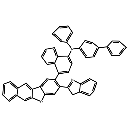 c1ccc(-c2ccc(N(c3ccccc3)c3ccc(-c4cc5c(cc4C4=Nc6ccccc6C4)oc4cc6ccccc6cc45)c4ccccc34)cc2)cc1